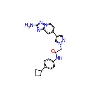 Nc1nc2cc(-c3cnn(CC(=O)Nc4ccc(C5CCC5)cc4)c3)ccn2n1